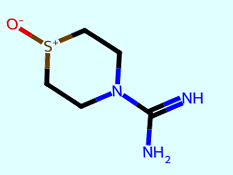 N=C(N)N1CC[S+]([O-])CC1